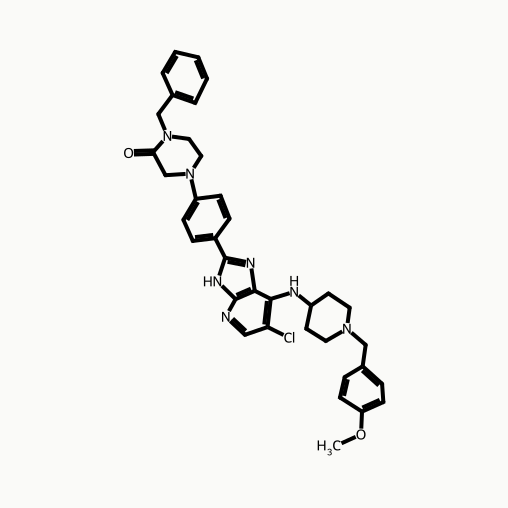 COc1ccc(CN2CCC(Nc3c(Cl)cnc4[nH]c(-c5ccc(N6CCN(Cc7ccccc7)C(=O)C6)cc5)nc34)CC2)cc1